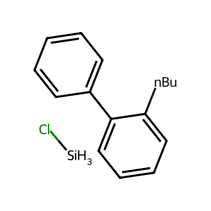 CCCCc1ccccc1-c1ccccc1.[SiH3]Cl